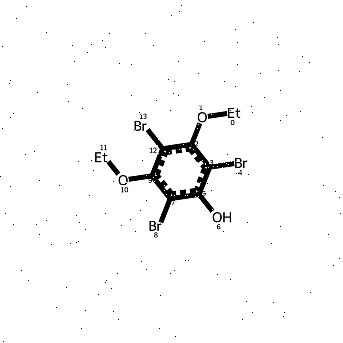 CCOc1c(Br)c(O)c(Br)c(OCC)c1Br